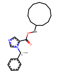 C[C@H](c1ccccc1)n1cncc1C(=O)OBC1CCCCCCCCCC1